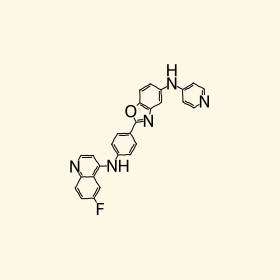 Fc1ccc2nccc(Nc3ccc(-c4nc5cc(Nc6ccncc6)ccc5o4)cc3)c2c1